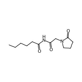 CCCCCC(=O)NC(=O)CN1CCCC1=O